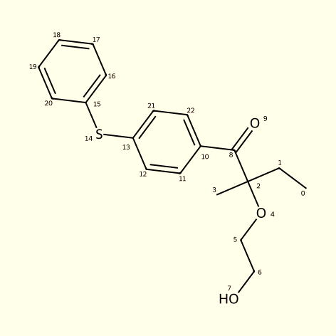 CCC(C)(OCCO)C(=O)c1ccc(Sc2ccccc2)cc1